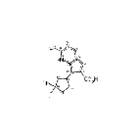 O=C(O)c1cc2cnc(Cl)nc2n1C1CCC(F)(F)C1